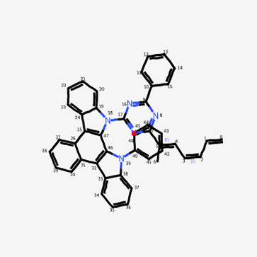 C=C/C=C\C=C(/C)c1nc(-c2ccccc2)nc(-n2c3ccccc3c3c4ccccc4c4c5ccccc5n(-c5ccccc5)c4c32)n1